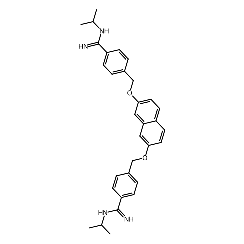 CC(C)NC(=N)c1ccc(COc2ccc3ccc(OCc4ccc(C(=N)NC(C)C)cc4)cc3c2)cc1